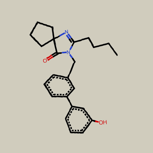 CCCCC1=NC2(CCCC2)C(=O)N1Cc1cccc(-c2cccc(O)c2)c1